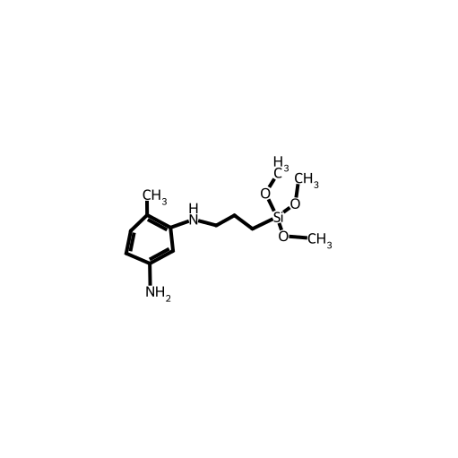 CO[Si](CCCNc1cc(N)ccc1C)(OC)OC